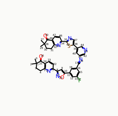 CC1(C)CCc2nc(-c3cc(-c4cc(F)cc(C#N)c4)on3)ccc2C1=O.CC1(C)CCc2nc(-c3ncc(-c4cccnc4)s3)ccc2C1=O